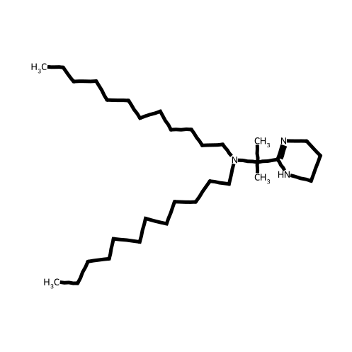 CCCCCCCCCCCCN(CCCCCCCCCCCC)C(C)(C)C1=NCCCN1